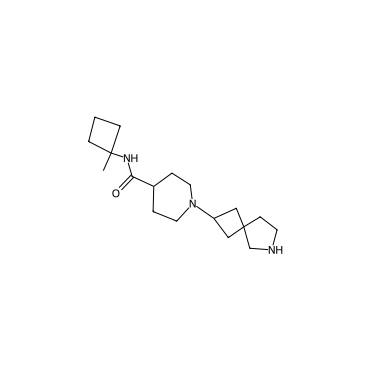 CC1(NC(=O)C2CCN(C3CC4(CCNC4)C3)CC2)CCC1